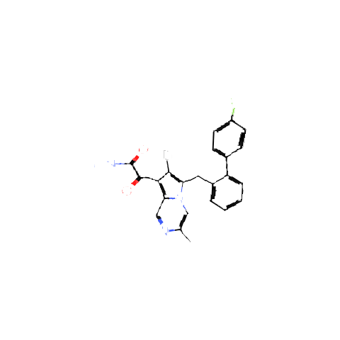 CCc1c(C(=O)C(N)=O)c2cnc(C)cn2c1Cc1ccccc1-c1ccc(F)cc1